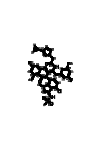 Cn1nc(NS(C)(=O)=O)c2c(Cl)ccc(-n3c(C(Cc4cc(F)cc(F)c4)NC(=O)Cn4ccc(C5CC5)n4)nc4cc(F)cc(F)c4c3=O)c21